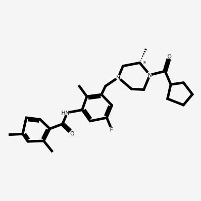 Cc1ccc(C(=O)Nc2cc(F)cc(CN3CCN(C(=O)C4CCCC4)[C@@H](C)C3)c2C)c(C)c1